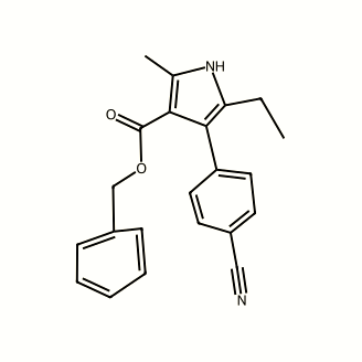 CCc1[nH]c(C)c(C(=O)OCc2ccccc2)c1-c1ccc(C#N)cc1